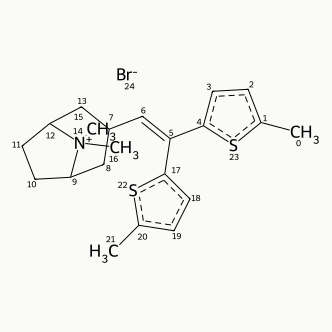 Cc1ccc(C(=CC2CC3CCC(C2)[N+]3(C)C)c2ccc(C)s2)s1.[Br-]